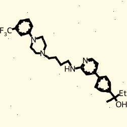 CCC(C)(O)c1ccc(-c2ccnc(NCCCCN3CCN(c4cccc(C(F)(F)F)c4)CC3)c2)cc1